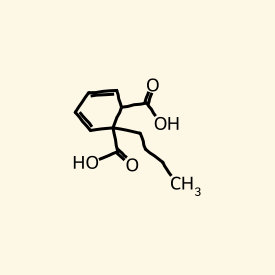 CCCCC1(C(=O)O)C=CC=CC1C(=O)O